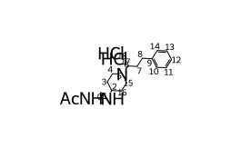 CC(=O)NNC1CCN(CCCc2ccccc2)CC1.Cl.Cl